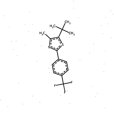 Cc1nc(-c2ccc(C(F)(F)F)cc2)sc1C(C)(C)C